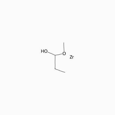 CCC(O)OC.[Zr]